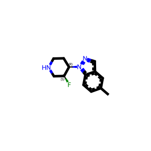 Cc1ccc2c(cnn2[C@@H]2CCNC[C@@H]2F)c1